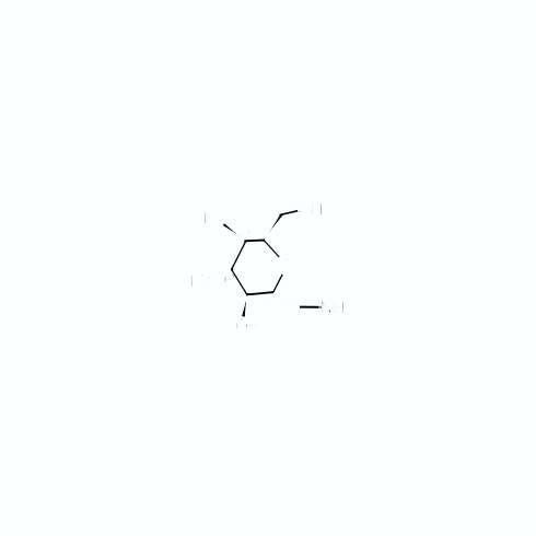 CC[C@H]1O[C@H](CN)[C@@H](O)[C@H](O)[C@H]1O